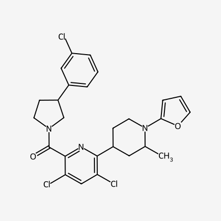 CC1CC(c2nc(C(=O)N3CCC(c4cccc(Cl)c4)C3)c(Cl)cc2Cl)CCN1c1ccco1